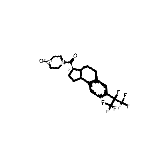 O=C([C@@H]1CCC2c3ccc(C(F)(C(F)(F)F)C(F)(F)F)cc3CCC21)N1CC[S+]([O-])CC1